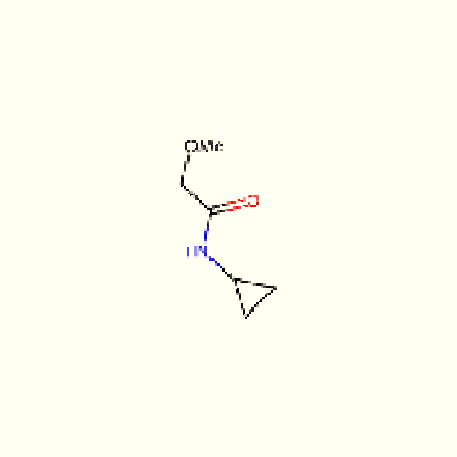 COCC(=O)NC1CC1